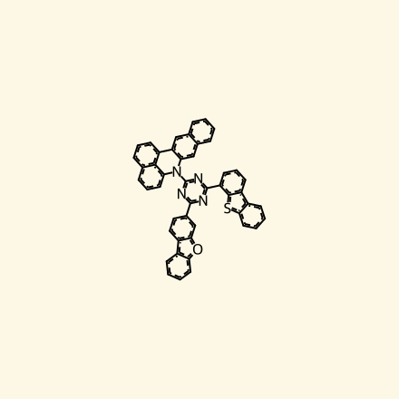 c1ccc2cc3c(cc2c1)-c1cccc2cccc(c12)N3c1nc(-c2ccc3c(c2)oc2ccccc23)nc(-c2cccc3c2sc2ccccc23)n1